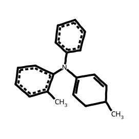 Cc1ccccc1N(C1=CCC(C)C=C1)c1ccccc1